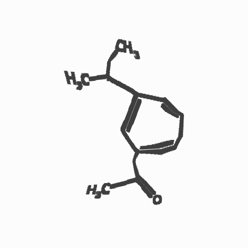 C[C](C)c1cccc(C(C)=O)c1